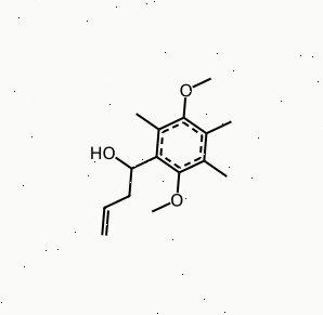 C=CCC(O)c1c(C)c(OC)c(C)c(C)c1OC